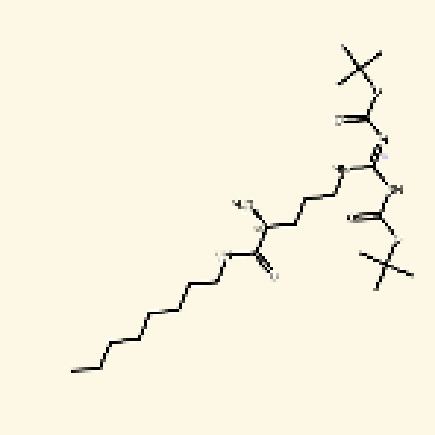 CCCCCCCCNC(=O)[C@@H](N)CCCN/C(=N\C(=O)OC(C)(C)C)NC(=O)OC(C)(C)C